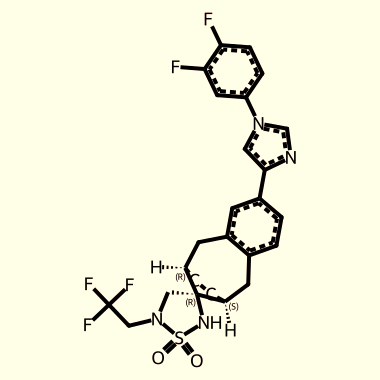 O=S1(=O)N[C@@]2(CN1CC(F)(F)F)[C@@H]1CC[C@H]2Cc2ccc(-c3cn(-c4ccc(F)c(F)c4)cn3)cc2C1